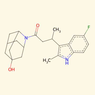 Cc1[nH]c2ccc(F)cc2c1C(C)CC(=O)N1C2CC3CC1CC(O)(C3)C2